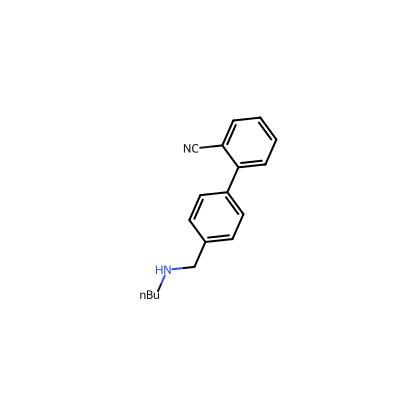 CCCCNCc1ccc(-c2ccccc2C#N)cc1